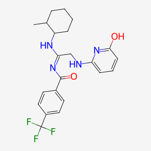 CC1CCCCC1N/C(CNc1cccc(O)n1)=N/C(=O)c1ccc(C(F)(F)F)cc1